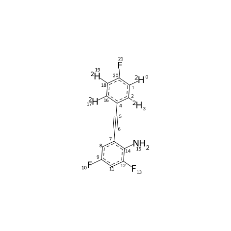 [2H]c1c([2H])c(C#Cc2cc(F)cc(F)c2N)c([2H])c([2H])c1F